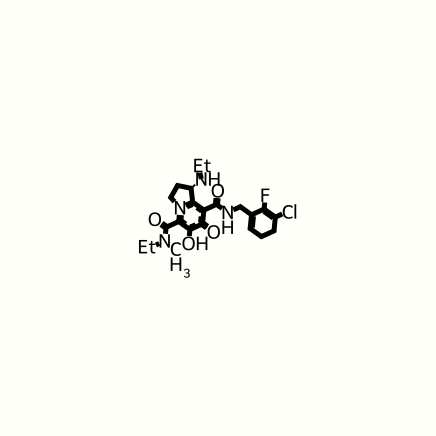 CCN[C@H]1CCn2c(C(=O)N(C)CC)c(O)c(=O)c(C(=O)NCC3=CCCC(Cl)=C3F)c21